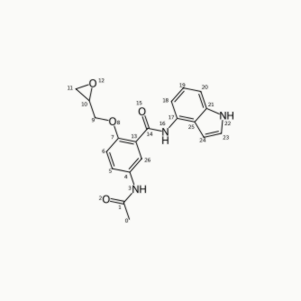 CC(=O)Nc1ccc(OCC2CO2)c(C(=O)Nc2cccc3[nH]ccc23)c1